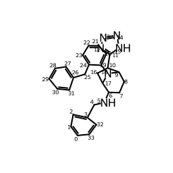 c1ccc(CNC2CCC3C(c4nnn[nH]4)CC2N3c2ccccc2Cc2ccccc2)cc1